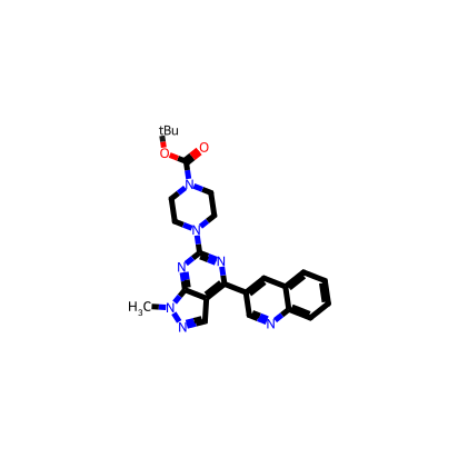 Cn1ncc2c(-c3cnc4ccccc4c3)nc(N3CCN(C(=O)OC(C)(C)C)CC3)nc21